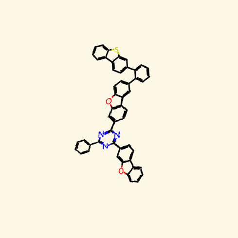 c1ccc(-c2nc(-c3ccc4c(c3)oc3ccccc34)nc(-c3ccc4c(c3)oc3ccc(-c5ccccc5-c5ccc6c(c5)sc5ccccc56)cc34)n2)cc1